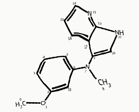 COc1cccc(N(C)c2c[nH]c3ncccc23)c1